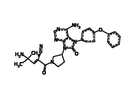 CC(C)(N)C=C(C#N)C(=O)N1CCC(n2c(=O)n(-c3ccc(Oc4ccccc4)cc3)c3c(N)ncnc32)C1